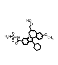 COc1ccc2c(c1)C=C(COO)Cn1c-2c(C2CCCCC2)c2ccc(C(=O)NS(N)(=O)=O)cc21